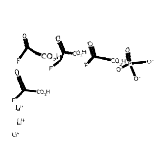 O=C(O)C(=O)F.O=C(O)C(=O)F.O=C(O)C(=O)F.O=C(O)C(=O)F.O=P([O-])([O-])[O-].[Li+].[Li+].[Li+]